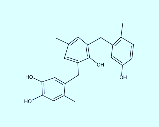 Cc1cc(Cc2cc(O)ccc2C)c(O)c(Cc2cc(O)c(O)cc2C)c1